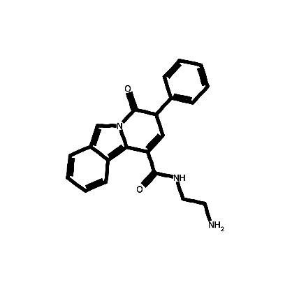 NCCNC(=O)C1=CC(c2ccccc2)C(=O)n2cc3ccccc3c21